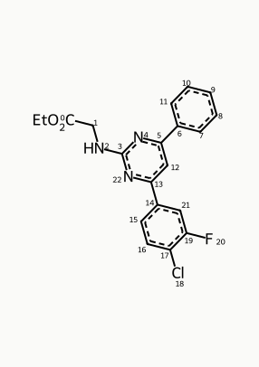 CCOC(=O)CNc1nc(-c2ccccc2)cc(-c2ccc(Cl)c(F)c2)n1